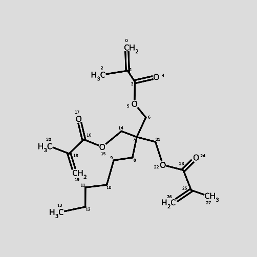 C=C(C)C(=O)OCC(CCCCCC)(COC(=O)C(=C)C)COC(=O)C(=C)C